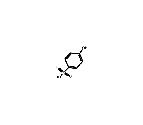 O=S(=O)(O)c1[c]cc(O)cc1